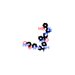 C[C@H](NC1CCC(NC(=O)C2(c3ccccc3)CCN(c3cnnc(-c4ccccc4O)c3)CC2)CC1)C1CCN(c2ccc([C@H]3CCC(=O)NC3=O)cn2)CC1